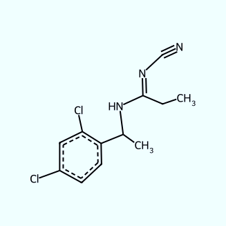 CC/C(=N\C#N)NC(C)c1ccc(Cl)cc1Cl